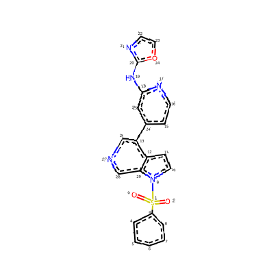 O=S(=O)(c1ccccc1)n1ccc2c(-c3ccnc(Nc4ncco4)c3)cncc21